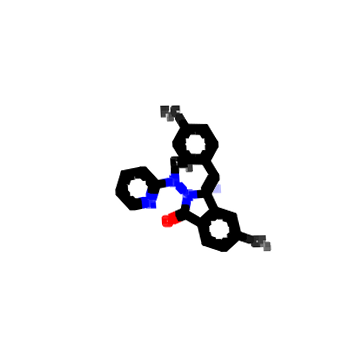 CN(c1ccccn1)N1C(=O)c2ccc(C(F)(F)F)cc2/C1=C/c1ccc(C(F)(F)F)cc1